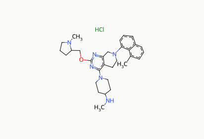 CNC1CCN(c2nc(OCC3CCCN3C)nc3c2CCN(c2cccc4cccc(C)c24)C3)CC1.Cl